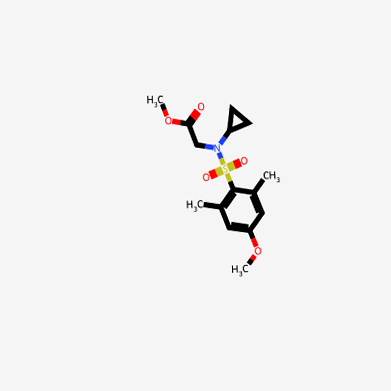 COC(=O)CN(C1CC1)S(=O)(=O)c1c(C)cc(OC)cc1C